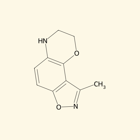 Cc1noc2ccc3c(c12)OCCN3